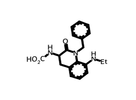 CCNc1cccc2c1N(Cc1ccccc1)C(=O)C(NC(=O)O)C2